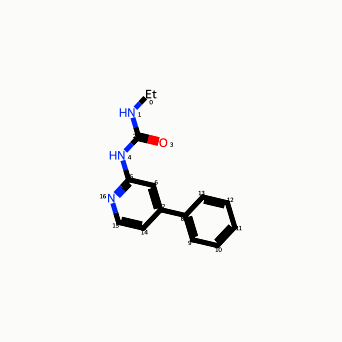 CCNC(=O)Nc1cc(-c2ccccc2)ccn1